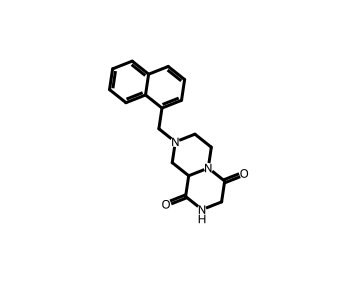 O=C1NCC(=O)N2CCN(Cc3cccc4ccccc34)CC12